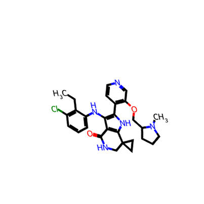 CCc1c(Cl)cccc1Nc1c(-c2ccncc2OCC2CCCN2C)[nH]c2c1C(=O)NCC21CC1